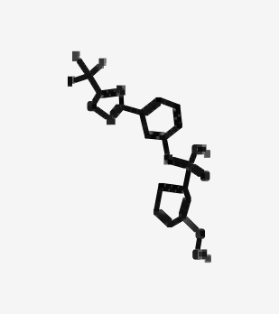 COc1cccc(S(C)(=O)=Nc2cccc(-c3noc(C(F)(F)F)n3)c2)c1